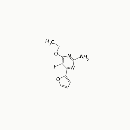 CCOc1nc(N)nc(-c2ccco2)c1I